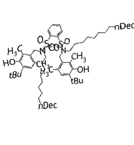 CCCCCCCCCCCCCCCCCCN(Cc1c(C)cc(C(C)(C)C)c(O)c1C)S(=O)(=O)c1ccccc1S(=O)(=O)N(CCCCCCCCCCCCCCCCCC)Cc1c(C)cc(C(C)(C)C)c(O)c1C